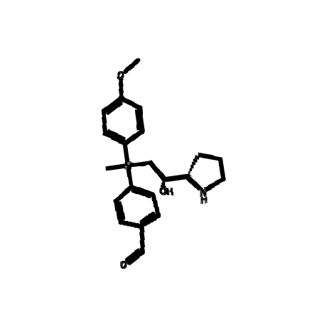 COc1ccc([Si](C)(C[C@@H](O)[C@@H]2CCCN2)c2ccc(C=O)cc2)cc1